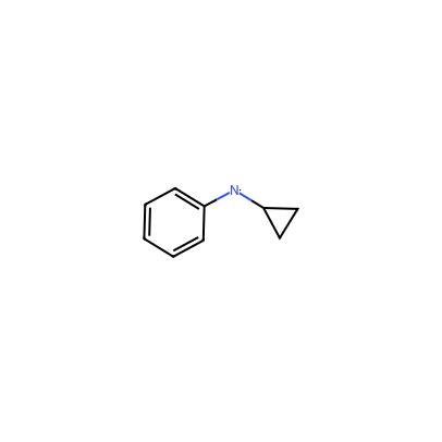 c1ccc([N]C2CC2)cc1